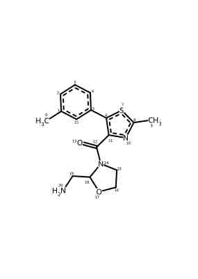 Cc1cccc(-c2sc(C)nc2C(=O)N2CCOC2CN)c1